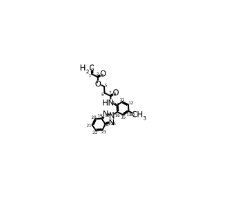 C=CC(=O)OCCC(=O)Nc1ccc(C)cc1-n1nc2ccccc2n1